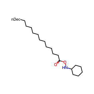 CCCCCCCCCCCCCCCCCCCCCC(=O)ONC1CCCCC1